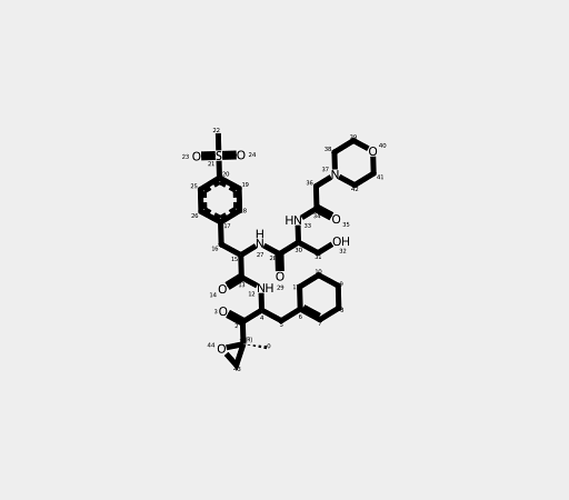 C[C@]1(C(=O)C(CC2=CCCCC2)NC(=O)C(Cc2ccc(S(C)(=O)=O)cc2)NC(=O)C(CO)NC(=O)CN2CCOCC2)CO1